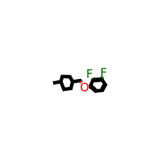 CC1CCC(COc2cccc(F)c2F)CC1